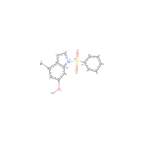 COc1cc(Br)c2ccn(S(=O)(=O)c3ccccc3)c2c1